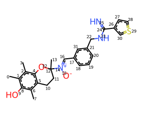 Cc1c(C)c2c(c(C)c1O)CCC(C)(/[N+]([O-])=C/c1cccc(CNC(=N)c3ccsc3)c1)O2